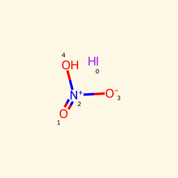 I.O=[N+]([O-])O